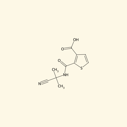 CC(C)(C#N)NC(=O)c1sccc1C(=O)O